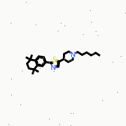 CCCCCCN1CCC(c2cnc(-c3ccc4c(c3)C(C)(C)CCC4(C)C)s2)CC1